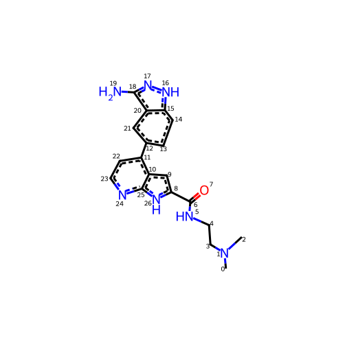 CN(C)CCNC(=O)c1cc2c(-c3ccc4[nH]nc(N)c4c3)ccnc2[nH]1